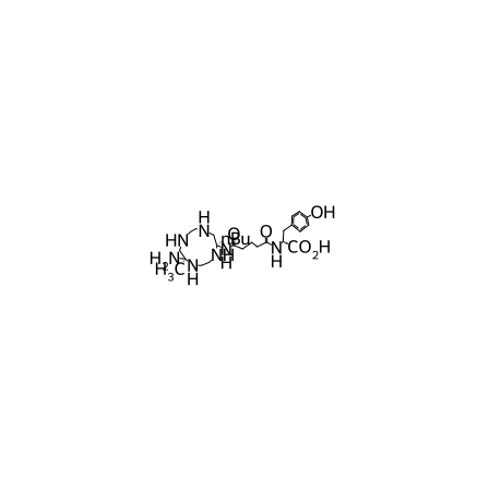 CCCC[C@@]1(NC(=O)CCCC(=O)N[C@@H](Cc2ccc(O)cc2)C(=O)O)CNCCNC[C@](C)(N)NCCN1